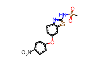 CS(=O)(=O)Nc1nc2ccc(Oc3ccc([N+](=O)[O-])cc3)cc2s1